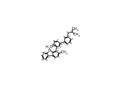 Cc1ccc2c(oc3ncccc32)c1-c1cc(-c2cccc(CC(C)C)c2)cc[n+]1C